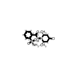 C[C@@H]1CC(Cl)C[C@H](C)N1NC(=O)c1ccccc1S(N)(=O)=O